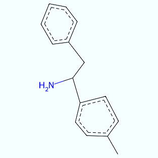 Cc1ccc(C(N)Cc2ccccc2)cc1